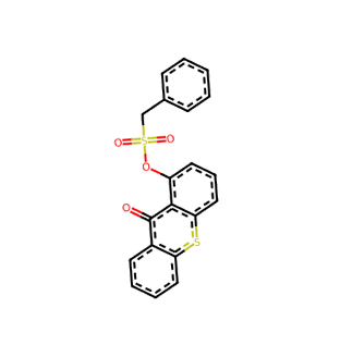 O=c1c2ccccc2sc2cccc(OS(=O)(=O)Cc3ccccc3)c12